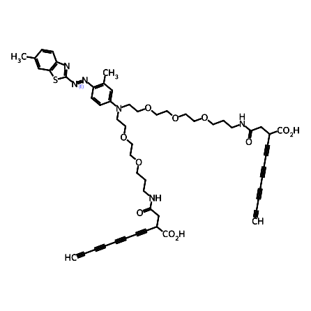 C#CC#CC#CC#CC(CC(=O)NCCCOCCOCCOCCN(CCOCCOCCCNC(=O)CC(C#CC#CC#CC#C)C(=O)O)c1ccc(/N=N/c2nc3ccc(C)cc3s2)c(C)c1)C(=O)O